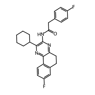 O=C(Cc1ccc(F)cc1)Nc1nc2c(nc1C1CCCCC1)-c1ccc(F)cc1CC2